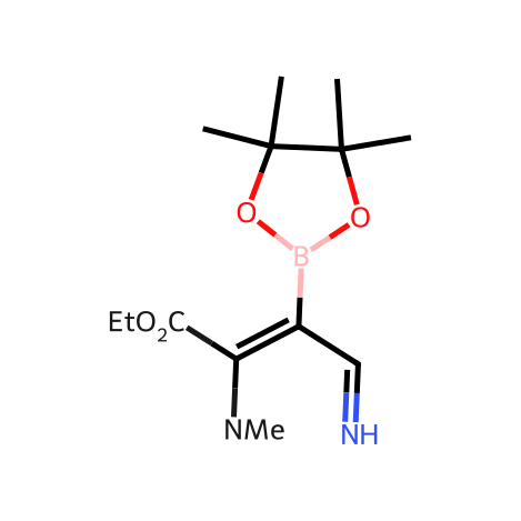 CCOC(=O)/C(NC)=C(/C=N)B1OC(C)(C)C(C)(C)O1